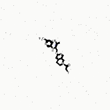 C/C(N)=C(\COc1cc2c(cn1)CN(C(=O)CF)CC2)Nc1ccc(C(F)(F)F)nc1